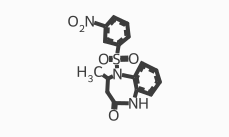 CC1CC(=O)Nc2ccccc2N1S(=O)(=O)c1cccc([N+](=O)[O-])c1